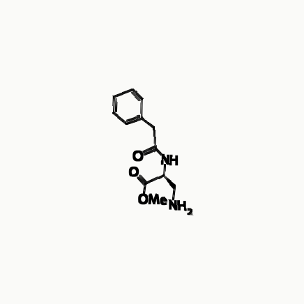 COC(=O)[C@H](CN)NC(=O)Cc1ccccc1